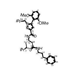 COc1cccc(OC)c1-c1cc(C(=O)N[C@@H](CCC(C)C)CC(=O)NCCCc2ccccc2)nn1CC(C)C